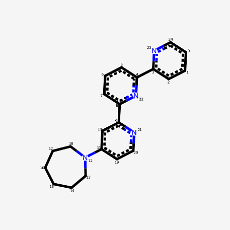 c1ccc(-c2cccc(-c3cc(N4CCCCCC4)ccn3)n2)nc1